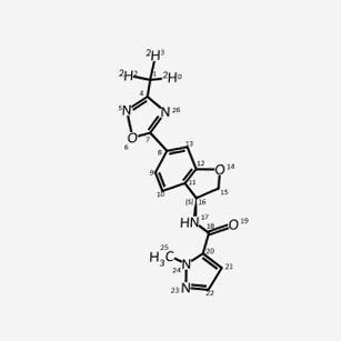 [2H]C([2H])([2H])c1noc(-c2ccc3c(c2)OC[C@H]3NC(=O)c2ccnn2C)n1